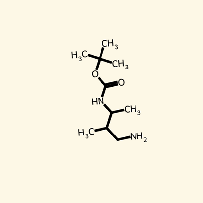 CC(CN)C(C)NC(=O)OC(C)(C)C